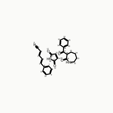 N#CC=CC=Cc1ccccc1.O=C1C=CC(=O)N1.O=C1NCCCCC1C(=O)c1ccccc1